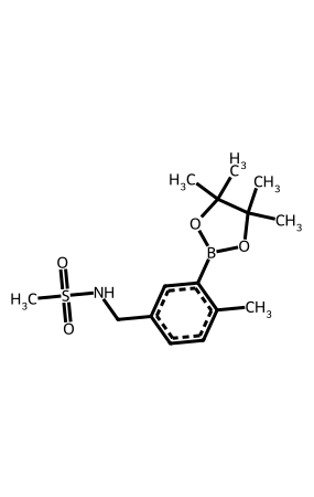 Cc1ccc(CNS(C)(=O)=O)cc1B1OC(C)(C)C(C)(C)O1